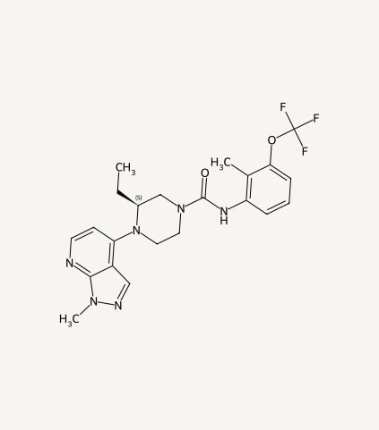 CC[C@H]1CN(C(=O)Nc2cccc(OC(F)(F)F)c2C)CCN1c1ccnc2c1cnn2C